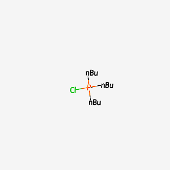 CCCC[P](Cl)(CCCC)CCCC